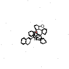 C1=CC2Oc3cccc(-c4cccc5c4oc4ccccc45)c3C2C(c2nc(C3=Cc4ccccc4CC3)nc(-c3ccccc3)n2)=C1